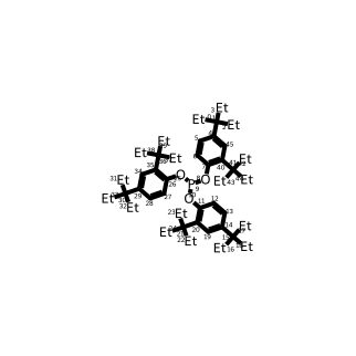 CCC(CC)(CC)c1ccc(OP(Oc2ccc(C(CC)(CC)CC)cc2C(CC)(CC)CC)Oc2ccc(C(CC)(CC)CC)cc2C(CC)(CC)CC)c(C(CC)(CC)CC)c1